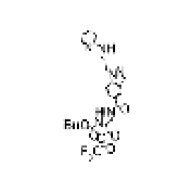 CC(C)COC(=O)N[C@@H](CNC(=O)c1ccc2c(cnn2CCCNc2ccccn2)c1)C(=O)OC(=O)C(F)(F)F